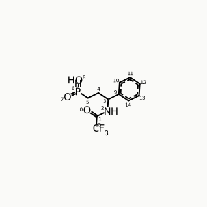 O=C(NC(CC[PH](=O)O)c1ccccc1)C(F)(F)F